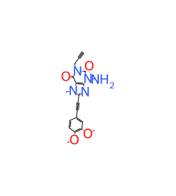 C#CCn1c(=O)c2c(nc(C#Cc3ccc(OC)c(OC)c3)n2C)n(N)c1=O